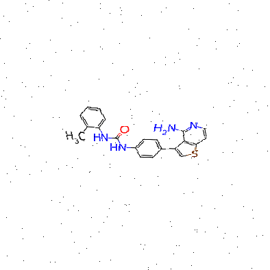 Cc1ccccc1NC(=O)Nc1ccc(-c2csc3ccnc(N)c23)cc1